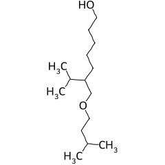 CC(C)CCOCC(CCCCCO)C(C)C